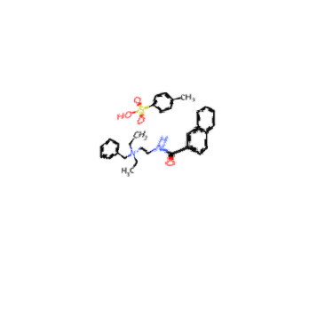 CC[N+](CC)(CCNC(=O)c1ccc2ccccc2c1)Cc1ccccc1.Cc1ccc(S(=O)(=O)O)cc1